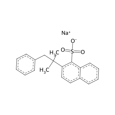 CC(C)(Cc1ccccc1)c1ccc2ccccc2c1S(=O)(=O)[O-].[Na+]